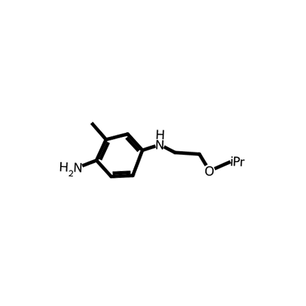 Cc1cc(NCCOC(C)C)ccc1N